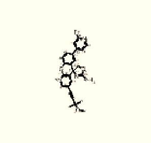 COC(C)(C)C#Cc1cnc2c(c1)[C@]1(COC(N)=N1)c1cc(-c3ccnc(F)c3)ccc1O2